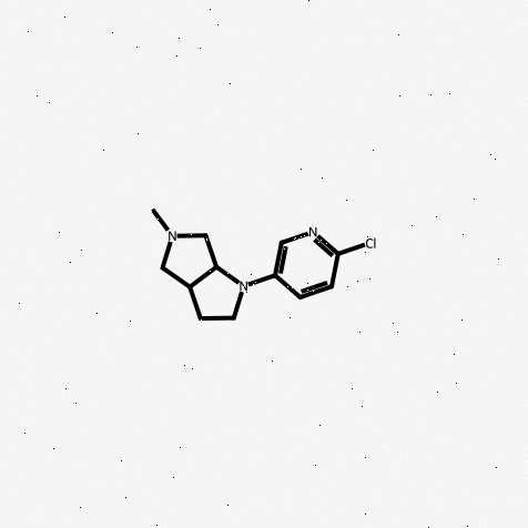 CN1CC2CCN(c3ccc(Cl)nc3)C2C1